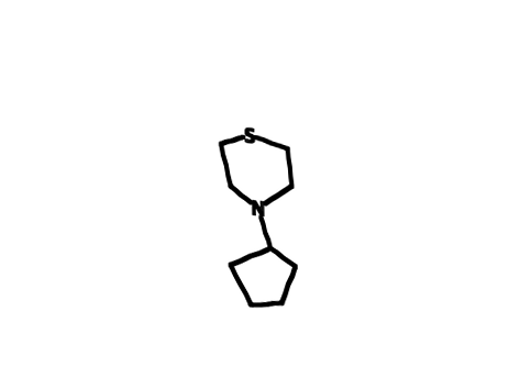 C1CCC(N2CCSCC2)C1